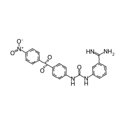 N=C(N)c1cccc(NC(=O)Nc2ccc(S(=O)(=O)c3ccc([N+](=O)[O-])cc3)cc2)c1